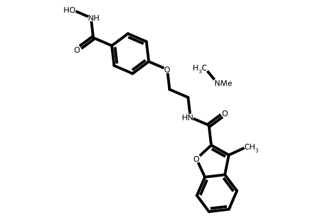 CNC.Cc1c(C(=O)NCCOc2ccc(C(=O)NO)cc2)oc2ccccc12